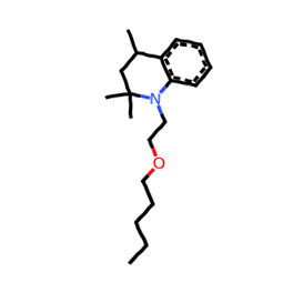 CCCCCOCCN1c2ccccc2C(C)CC1(C)C